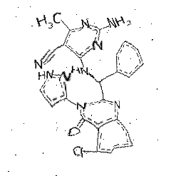 Cc1nc(N)nc(N[C@@H](c2ccccc2)c2nc3cccc(Cl)c3c(=O)n2-c2cc[nH]n2)c1C#N